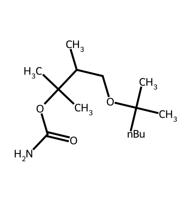 CCCCC(C)(C)OCC(C)C(C)(C)OC(N)=O